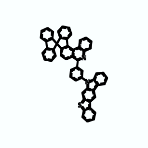 c1cc(-c2nc3ccccc3c3c4c(ccc23)C2(c3ccccc3-c3ccccc32)c2ccccc2-4)cc(-n2c3ccccc3c3cc4c(cc32)sc2ccccc24)c1